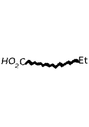 CC/C=C/CCCCCC/C=C/CCCC/C=C/CC(=O)O